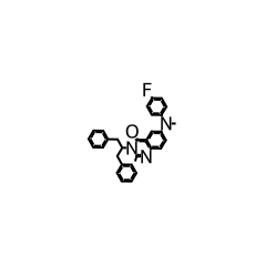 Cc1nc2ccc(N(C)c3ccc(F)cc3)cc2c(=O)n1C(Cc1ccccc1)Cc1ccccc1